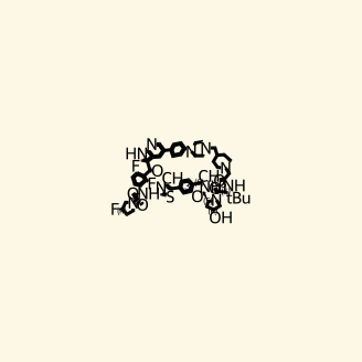 Cc1ncsc1-c1ccc([C@H](C)NC(=O)[C@@H]2C[C@@H](O)CN2C(=O)[C@@H](NC(=O)CN2CCC(CN3CCN(c4ccc(-c5cnc6[nH]cc(C(=O)c7c(F)ccc(NS(=O)(=O)N8CC[C@@H](F)C8)c7F)c6c5)cc4)CC3)CC2)C(C)(C)C)cc1